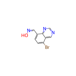 O/N=C\c1ccc(Br)c2cncnc12